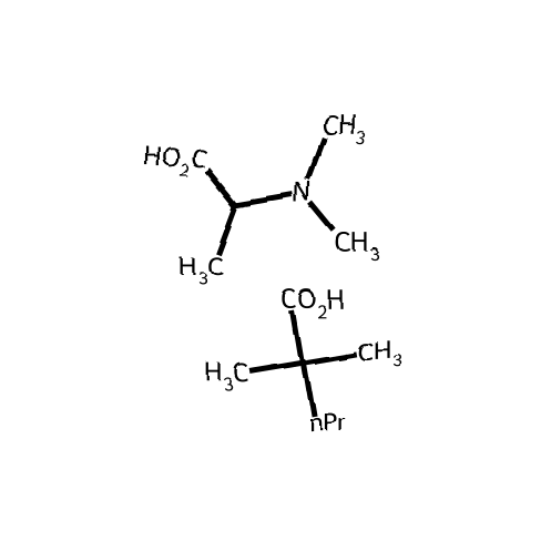 CC(C(=O)O)N(C)C.CCCC(C)(C)C(=O)O